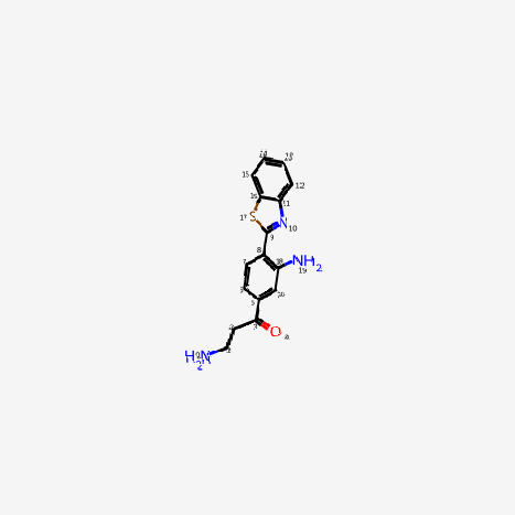 NCCC(=O)c1ccc(-c2nc3ccccc3s2)c(N)c1